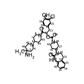 CC1(N)CCN(C2CCN(C(=O)[C@@H](Cc3ccc(O)c(Cl)c3)OC(=O)N3CCC(N4CCc5ccccc5NC4=O)CC3)CC2)CC1